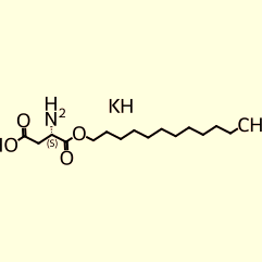 CCCCCCCCCCCCOC(=O)[C@@H](N)CC(=O)O.[KH]